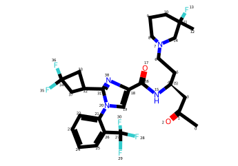 CC(=O)C[C@H](CCN1CCCC(C)(F)C1)NC(=O)c1cn(-c2ccccc2C(F)(F)F)c(C2CC(F)(F)C2)n1